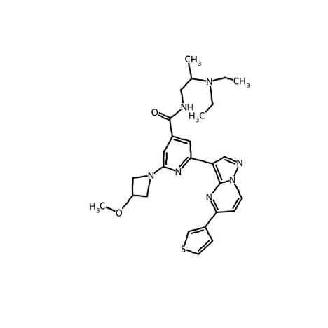 CCN(CC)C(C)CNC(=O)c1cc(-c2cnn3ccc(-c4ccsc4)nc23)nc(N2CC(OC)C2)c1